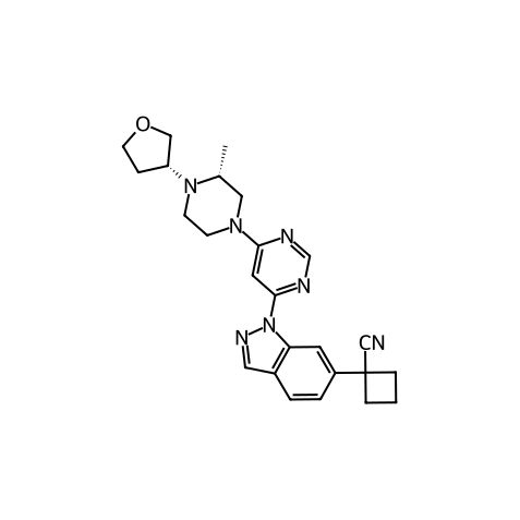 C[C@@H]1CN(c2cc(-n3ncc4ccc(C5(C#N)CCC5)cc43)ncn2)CCN1[C@@H]1CCOC1